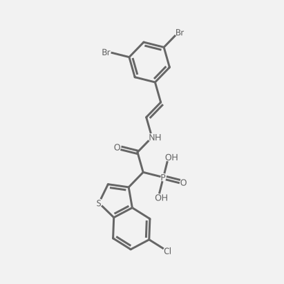 O=C(N/C=C/c1cc(Br)cc(Br)c1)C(c1csc2ccc(Cl)cc12)P(=O)(O)O